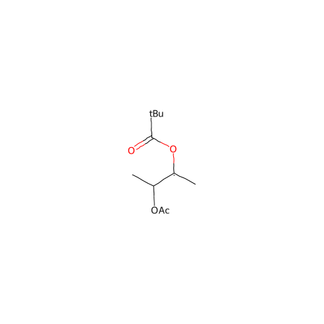 C[C](OC(=O)C(C)(C)C)C(C)OC(C)=O